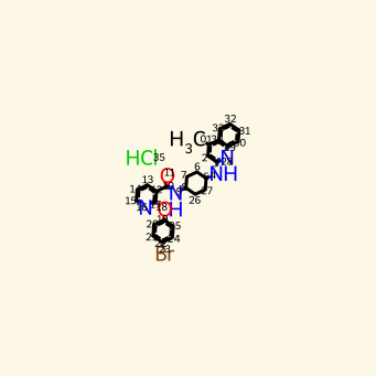 Cc1cc(NC2CCC(NC(=O)c3cccnc3Oc3ccc(Br)cc3)CC2)nc2ccccc12.Cl